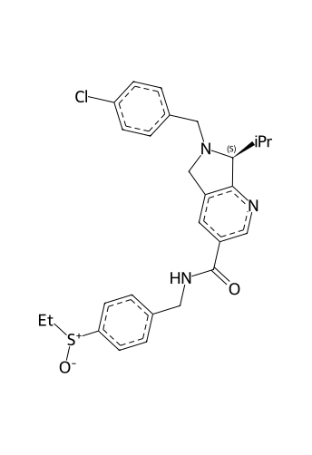 CC[S+]([O-])c1ccc(CNC(=O)c2cnc3c(c2)CN(Cc2ccc(Cl)cc2)[C@H]3C(C)C)cc1